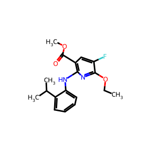 CCOc1nc(Nc2ccccc2C(C)C)c(C(=O)OC)cc1F